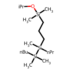 CCCC[Si](C)(C)[Si](C)(CCC)CCC[Si](C)(C)OC(C)C